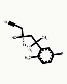 C#CC[C@](O)(CC(C)(C)c1cc(F)ccc1C)C(F)(F)F